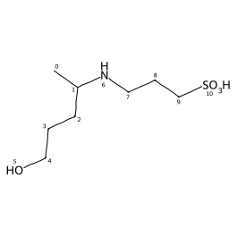 CC(CCCO)NCCCS(=O)(=O)O